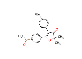 C[S+]([O-])c1ccc(C2=C(c3ccc(C(C)(C)C)cc3)C(=O)C(C)(C)O2)cc1